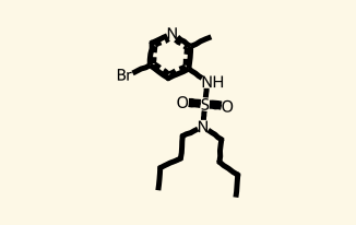 CCCCN(CCCC)S(=O)(=O)Nc1cc(Br)cnc1C